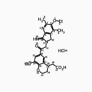 CCOc1c(C)nc2c(c1C)CN(CC(=O)c1cc3c(c(C(C)(C)C)c1)OCCN3CC(=O)O)C2=N.Cl